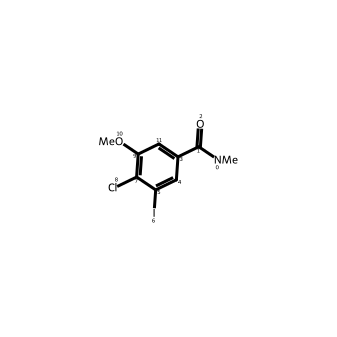 CNC(=O)c1cc(I)c(Cl)c(OC)c1